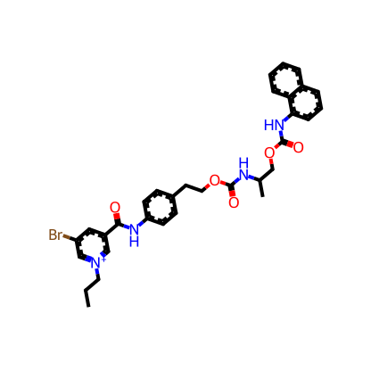 CCC[n+]1cc(Br)cc(C(=O)Nc2ccc(CCOC(=O)NC(C)COC(=O)Nc3cccc4ccccc34)cc2)c1